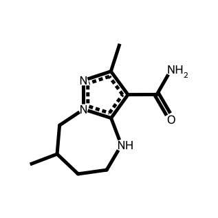 Cc1nn2c(c1C(N)=O)NCCC(C)C2